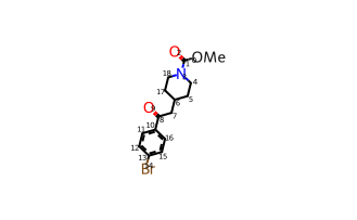 COC(=O)N1CCC(CC(=O)c2ccc(Br)cc2)CC1